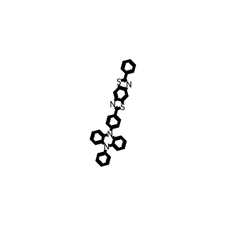 c1ccc(-c2nc3cc4sc(-c5ccc(N6c7ccccc7N(c7ccccc7)c7ccccc76)cc5)nc4cc3s2)cc1